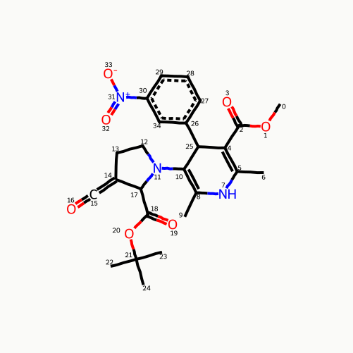 COC(=O)C1=C(C)NC(C)=C(N2CCC(=C=O)C2C(=O)OC(C)(C)C)C1c1cccc([N+](=O)[O-])c1